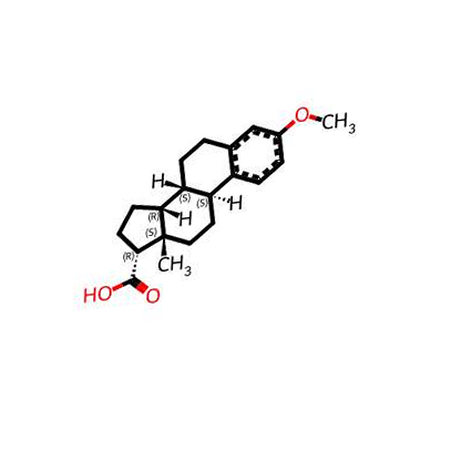 COc1ccc2c(c1)CC[C@@H]1[C@@H]2CC[C@@]2(C)[C@@H]1CC[C@H]2C(=O)O